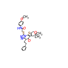 COc1ccc(NC(=O)CSc2nnc3n2-c2sc4c(c2C(=O)C3CCc2ccccc2)CC(C)(C)OC4)cc1